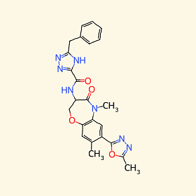 Cc1nnc(-c2cc3c(cc2C)OCC(NC(=O)c2nnc(Cc4ccccc4)[nH]2)C(=O)N3C)o1